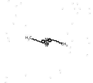 CCCCCCCCc1ccc(C(N)(c2ccc(CCCCCCCC)cc2)n2ccnn2)cc1